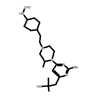 CC1CN(CCC2CCC(NC=O)CC2)CCN1c1cc(CC(C)(C)O)nc(C(C)(C)C)n1